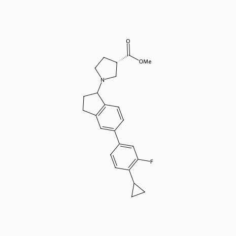 COC(=O)[C@H]1CCN(C2CCc3cc(-c4ccc(C5CC5)c(F)c4)ccc32)C1